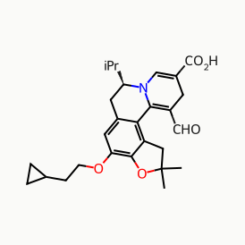 CC(C)[C@@H]1Cc2cc(OCCC3CC3)c3c(c2C2=C(C=O)CC(C(=O)O)=CN21)CC(C)(C)O3